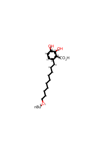 CCCCOCCCCCCCCCCc1ccc(O)c(O)c1C(=O)O